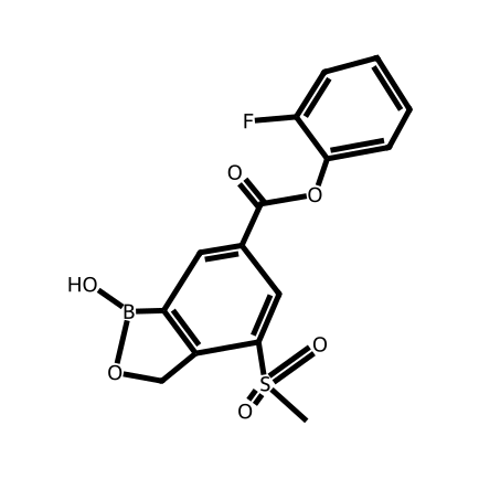 CS(=O)(=O)c1cc(C(=O)Oc2ccccc2F)cc2c1COB2O